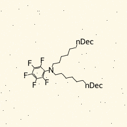 CCCCCCCCCCCCCCCCN(CCCCCCCCCCCCCCCC)c1c(F)c(F)c(F)c(F)c1F